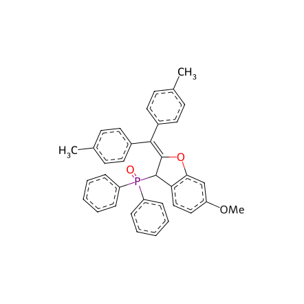 COc1ccc2c(c1)OC(=C(c1ccc(C)cc1)c1ccc(C)cc1)C2P(=O)(c1ccccc1)c1ccccc1